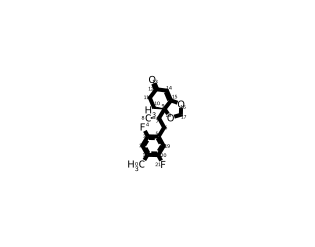 Cc1cc(F)c(C[C@H](C)[C@]23CCC(=O)C=C2OCO3)cc1F